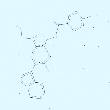 COc1ccc(C(=O)Nc2nn(CCO)c3nc(-c4cnn5ccccc45)c(F)cc23)cc1